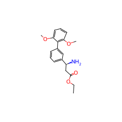 CCOC(=O)C[C@H](N)c1cccc(-c2c(OC)cccc2OC)c1